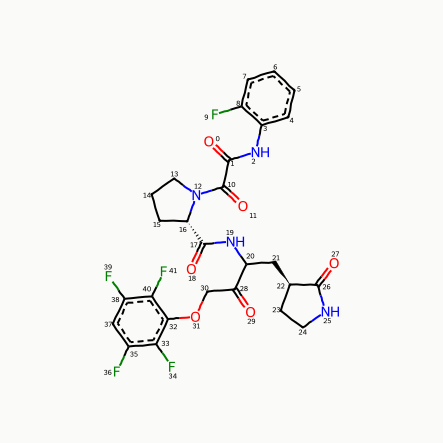 O=C(Nc1ccccc1F)C(=O)N1CCC[C@H]1C(=O)NC(C[C@@H]1CCNC1=O)C(=O)COc1c(F)c(F)cc(F)c1F